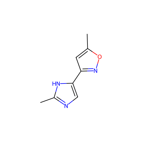 Cc1ncc(-c2cc(C)on2)[nH]1